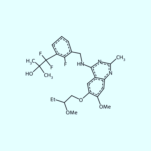 CCC(COc1cc2c(NCc3cccc(C(F)(F)C(C)(C)O)c3F)nc(C)nc2cc1OC)OC